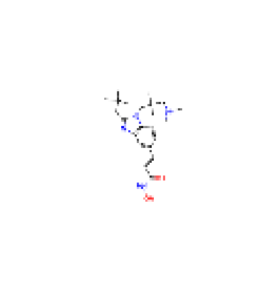 CN(C)CC(C)(C)Cn1c(CC(C)(C)C)nc2cc(C=CC(=O)NO)ccc21